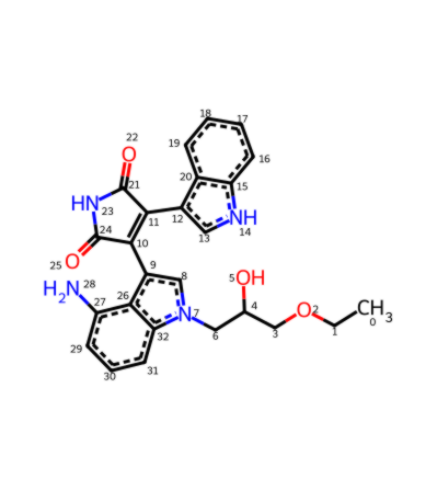 CCOCC(O)Cn1cc(C2=C(c3c[nH]c4ccccc34)C(=O)NC2=O)c2c(N)cccc21